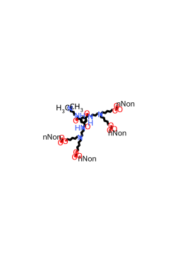 CCCCCCCCCOC(=O)OCCCCCN(CCCCCOC(=O)OCCCCCCCCC)CCCNC(=O)c1cc(C(=O)NCCCN(C)C)cc(C(=O)NCCCN(CCCCCOC(=O)OCCCCCCCCC)CCCCCOC(=O)OCCCCCCCCC)c1